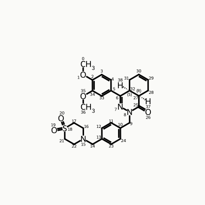 COc1ccc(C2=NN(Cc3ccc(CN4CCS(=O)(=O)CC4)cc3)C(=O)[C@@H]3CC=CC[C@H]23)cc1OC